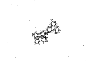 c1ccc2c(c1)-c1ccccc1C21c2ccccc2-c2ccc(Nc3ccc4c5ccccc5c5ccccc5c4c3)cc21